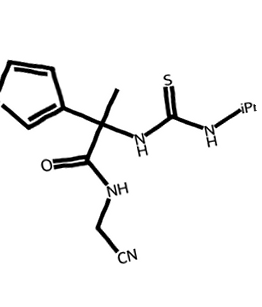 CC(C)NC(=S)NC(C)(C(=O)NCC#N)c1ccsc1